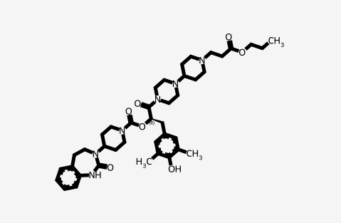 CCCOC(=O)CCN1CCC(N2CCN(C(=O)[C@@H](Cc3cc(C)c(O)c(C)c3)OC(=O)N3CCC(N4CCc5ccccc5NC4=O)CC3)CC2)CC1